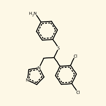 Nc1ccc(SC(Cn2ccnc2)c2ccc(Cl)cc2Cl)cc1